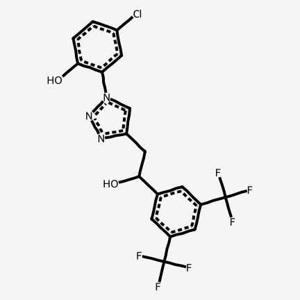 Oc1ccc(Cl)cc1-n1cc(CC(O)c2cc(C(F)(F)F)cc(C(F)(F)F)c2)nn1